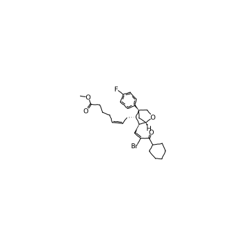 COC(=O)CCC/C=C\C[C@H]1[C@H](/C=C(/Br)C(=O)C2CCCCC2)[C@@H]2C[C@@]1(c1ccc(F)cc1)CO2